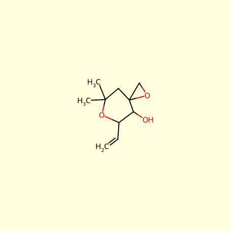 C=CC1OC(C)(C)CC2(CO2)C1O